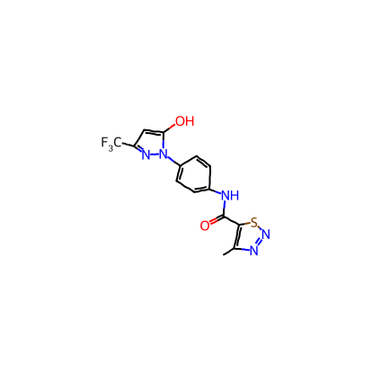 Cc1nnsc1C(=O)Nc1ccc(-n2nc(C(F)(F)F)cc2O)cc1